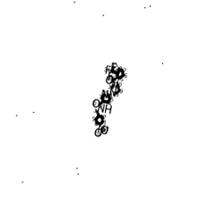 O=C(NCc1ccc([N+](=O)[O-])cc1)c1ccc(N2CCCN(C(=O)c3ccccc3C(F)(F)F)C2)nc1